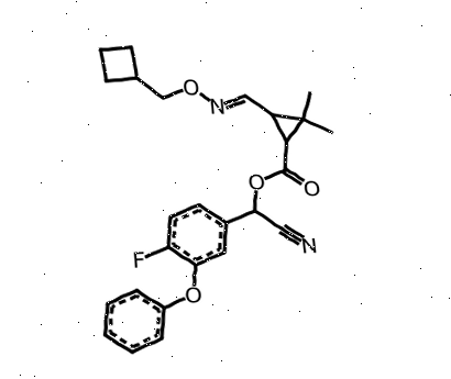 CC1(C)C(C=NOCC2CCC2)C1C(=O)OC(C#N)c1ccc(F)c(Oc2ccccc2)c1